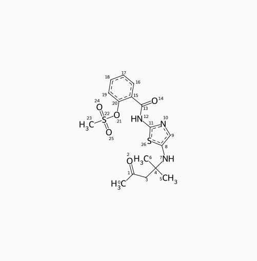 CC(=O)CC(C)(C)Nc1cnc(NC(=O)c2ccccc2OS(C)(=O)=O)s1